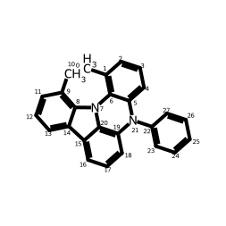 Cc1cccc2c1-n1c3c(C)cccc3c3cccc(c31)N2c1ccccc1